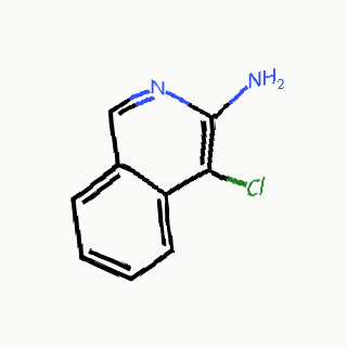 Nc1ncc2ccccc2c1Cl